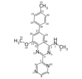 CNc1nc(-c2cnccn2)nc2c(OC)cc(-c3ccc(C)cc3)cc12